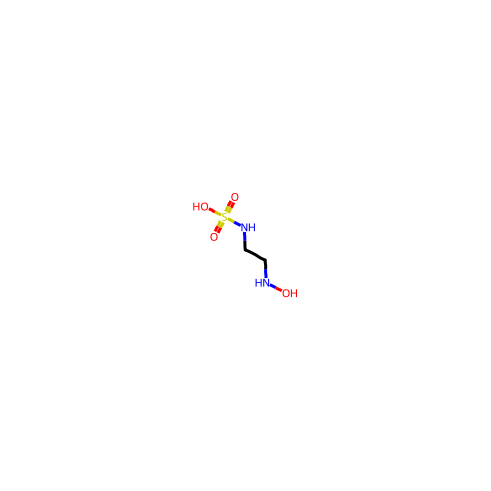 O=S(=O)(O)NCCNO